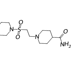 NC(=O)C1CCN(CCS(=O)(=O)N2CCCCC2)CC1